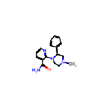 CN1CCN(c2ncccc2C(N)=O)C(c2ccccc2)C1